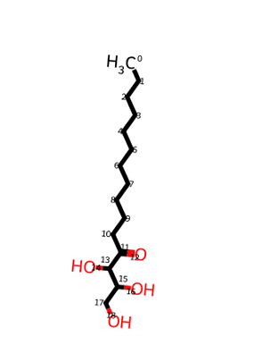 CCCCCCCCCCCC(=O)C(O)C(O)CO